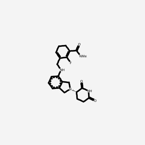 CNC(=O)C1=C(F)C(CNc2cccc3c2CN([C@H]2CCC(=O)NC2=O)C3)=CCC1